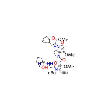 CCCCN(C(=O)CNC(O)[C@]1(C)CCCN1C)[C@@H]([C@@H](C)CC)[C@@H](CC(=O)N1CCC[C@H]1[C@H](OC)[C@@H](C)C(=O)N[C@@H](Cc1ccccc1)C(=O)OC)OC